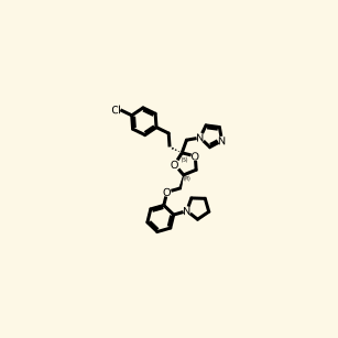 Clc1ccc(CC[C@]2(Cn3ccnc3)OC[C@@H](COc3ccccc3N3CCCC3)O2)cc1